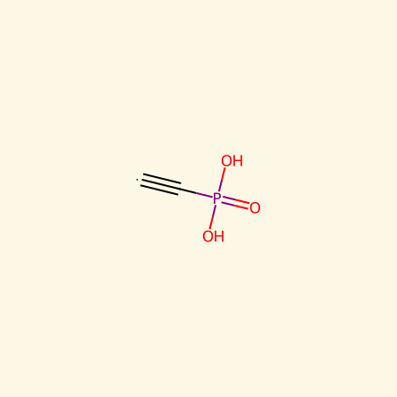 [C]#CP(=O)(O)O